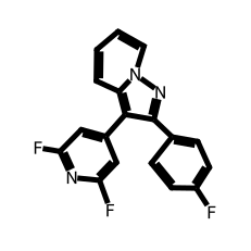 Fc1ccc(-c2nn3ccccc3c2-c2cc(F)nc(F)c2)cc1